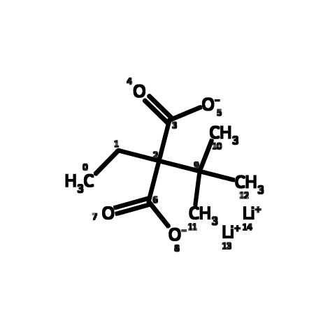 CCC(C(=O)[O-])(C(=O)[O-])C(C)(C)C.[Li+].[Li+]